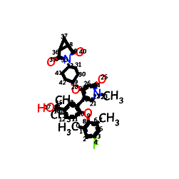 Cc1cc(F)cc(C)c1Oc1ccc(C(C)(C)O)cc1-c1cn(C)c(=O)cc1O[C@H]1CC[C@H](N2C(=O)C3CC3C2=O)CC1